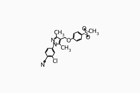 Cc1nn(-c2ccc(C#N)c(Cl)c2)c(C)c1COc1ccc(S(C)(=O)=O)cc1